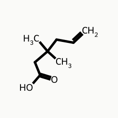 C=CCC(C)(C)CC(=O)O